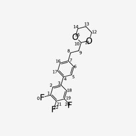 Fc1cc(-c2ccc(CCC3OCCCO3)cc2)cc(F)c1F